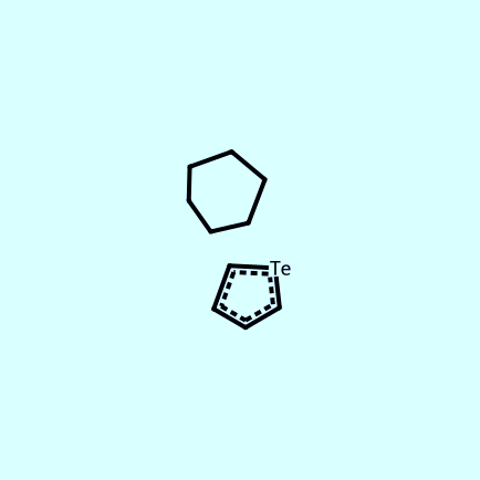 C1CCCCC1.c1cc[te]c1